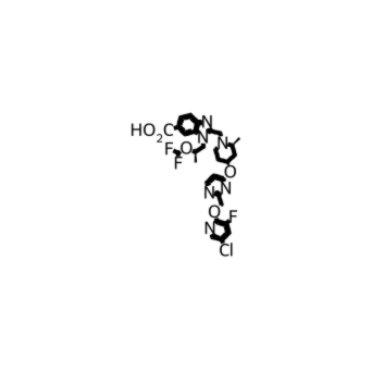 C[C@H](Cn1c(CN2CC[C@H](Oc3ccnc(COc4ncc(Cl)cc4F)n3)C[C@@H]2C)nc2ccc(C(=O)O)cc21)OC(F)F